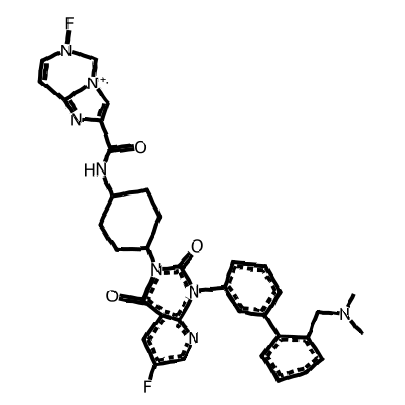 CN(C)Cc1ccccc1-c1cccc(-n2c(=O)n(C3CCC(NC(=O)C4=C[N+]5CN(F)C=CC5=N4)CC3)c(=O)c3cc(F)cnc32)c1